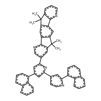 CC1(C)c2cc3c(cc2-c2ncccc21)C(C)(C)c1cc(-c2cc(-c4cccc5ccccc45)cc(-c4ccnc(-c5cccc6ccccc56)c4)n2)cnc1-3